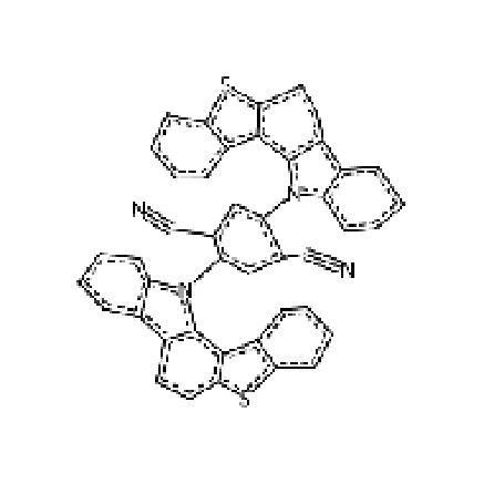 N#Cc1cc(-n2c3ccccc3c3ccc4sc5ccccc5c4c32)c(C#N)cc1-n1c2ccccc2c2ccc3sc4ccccc4c3c21